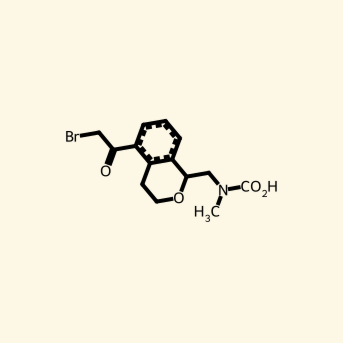 CN(CC1OCCc2c(C(=O)CBr)cccc21)C(=O)O